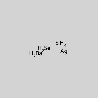 [Ag].[BaH2].[SeH2].[SiH4]